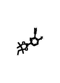 CCC1(C)OB(c2ccc(F)c(C#N)n2)OC1(C)C